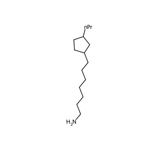 CCCC1CCC(CCCCCCCN)C1